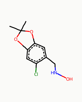 CC1(C)Oc2cc(Cl)c(CNO)cc2O1